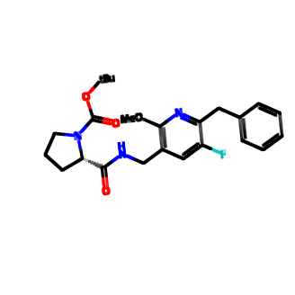 COc1nc(Cc2ccccc2)c(F)cc1CNC(=O)[C@@H]1CCCN1C(=O)OC(C)(C)C